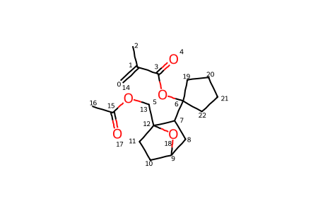 C=C(C)C(=O)OC1(C2CC3CCC2(COC(C)=O)O3)CCCC1